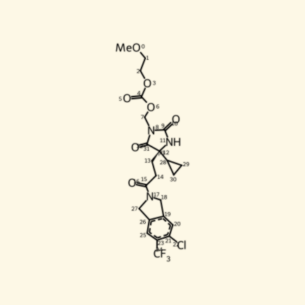 COCCOC(=O)OCN1C(=O)N[C@](CCC(=O)N2Cc3cc(Cl)c(C(F)(F)F)cc3C2)(C2CC2)C1=O